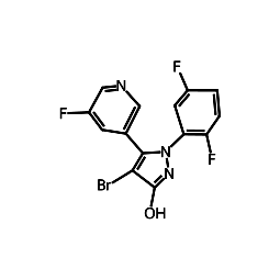 Oc1nn(-c2cc(F)ccc2F)c(-c2cncc(F)c2)c1Br